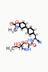 CCCC1(O)CNC[C@@H](C(=O)N[C@H](C#N)Cc2ccc(-c3ccc4oc(=O)n(C)c4c3)cc2)OC1